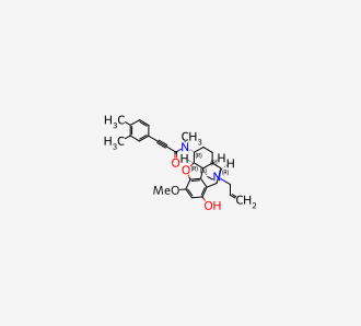 C=CCN1CC[C@]23c4c5c(O)cc(OC)c4O[C@H]2[C@H](N(C)C(=O)C#Cc2ccc(C)c(C)c2)CC[C@H]3[C@H]1C5